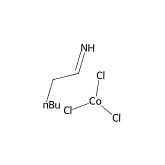 CCCCCC=N.[Cl][Co]([Cl])[Cl]